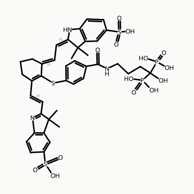 CC1(C)C(/C=C/C2=C(Sc3ccc(C(=O)NCCCC(O)(P(=O)(O)O)P(=O)(O)O)cc3)C(=C/C=C3/Nc4ccc(S(=O)(=O)O)cc4C3(C)C)/CCC2)=Nc2ccc(S(=O)(=O)O)cc21